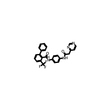 O=C(Cc1ccncn1)Nc1ccc(NC(=O)c2c(-c3ccccc3)cccc2C(F)(F)F)cc1